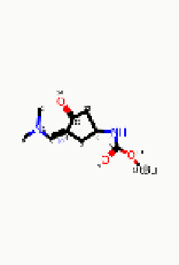 CN(C)/C=C1/CC(NC(=O)OC(C)(C)C)CC1=O